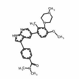 COc1ccc(-c2cnc3[nH]cc(-c4ccc(C(=O)N(C)C)cc4)c3c2)c(C)c1N1CCN(C)CC1